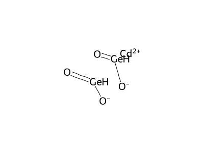 [Cd+2].[O]=[GeH][O-].[O]=[GeH][O-]